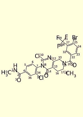 CNC(=O)c1ccc(-n2c(Cl)nc3c(c2=O)C[C@@H](C)N(C(=O)c2ccc(Br)c(C(F)(F)F)c2)C3)c(Cl)c1